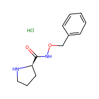 Cl.O=C(NOCc1ccccc1)[C@H]1CCCN1